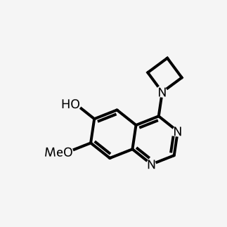 COc1cc2ncnc(N3CCC3)c2cc1O